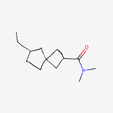 CCC1CCC2(C1)CC(C(=O)N(C)C)C2